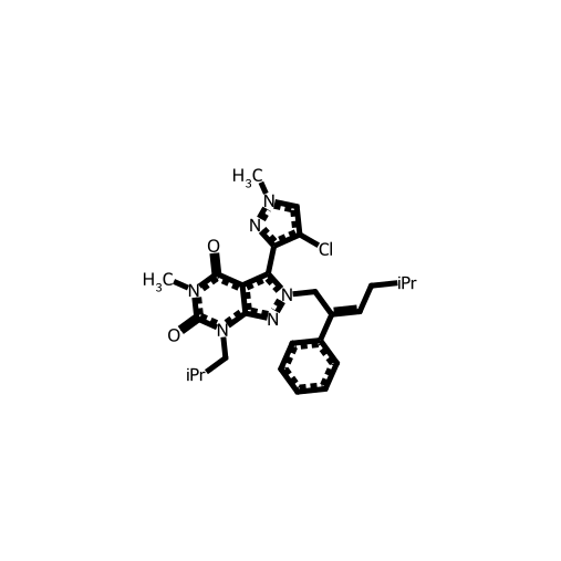 CC(C)C/C=C(\Cn1nc2c(c1-c1nn(C)cc1Cl)c(=O)n(C)c(=O)n2CC(C)C)c1ccccc1